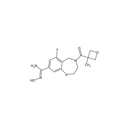 CC1(C(=O)N2CCOc3cc(C(N)=NO)cc(F)c3C2)COC1